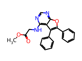 COC(=O)CNc1ncnc2oc(-c3ccccc3)c(-c3ccccc3)c12